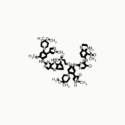 COc1cc(N2CCC(C)(OC)CC2)c(-c2cnn(C)c2)cc1Nc1ncc(Br)c(Nc2ccccc2P(C)(=O)CCOc2cc(N3CCC(C)(OC)CC3)c(-c3c[nH]n(C)c3=O)cc2Nc2ncc(Cl)c(Nc3ccc4nccnc4c3P(C)(C)=O)n2)n1